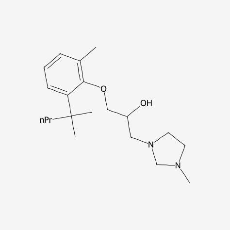 CCCC(C)(C)c1cccc(C)c1OCC(O)CN1CCN(C)C1